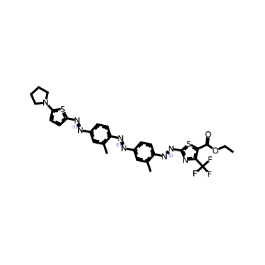 CCOC(=O)c1sc(/N=N/c2ccc(/N=N/c3ccc(/N=N/c4ccc(N5CCCC5)s4)cc3C)cc2C)nc1C(F)(F)F